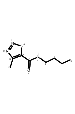 CCCCNC(=O)c1snnc1C